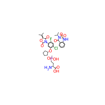 CC(C)=C1OC(=O)N(c2cc(OC3CCCC3)c(Cl)cc2F)C1=O.CC(C)N1C(=O)c2ccccc2NS1(=O)=O.CP(=O)(O)CCC(N)C(=O)O